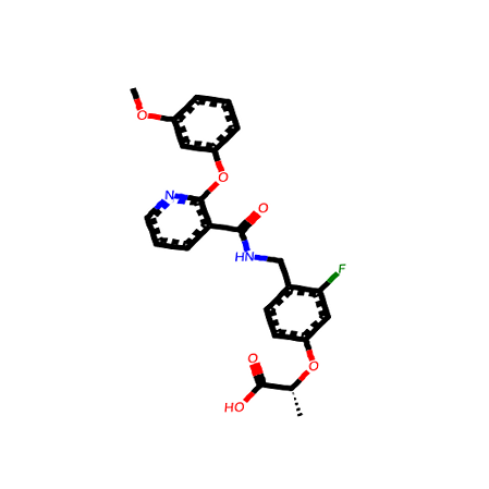 COc1cccc(Oc2ncccc2C(=O)NCc2ccc(O[C@H](C)C(=O)O)cc2F)c1